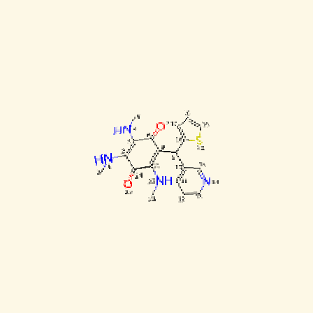 CNC1=C(NC)C(=O)C(C(c2cccnc2)c2cccs2)=C(NC)C1=O